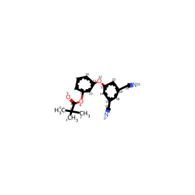 CC(C)(C)C(=O)Oc1cccc(Oc2cc(C#N)cc(C#N)c2)c1